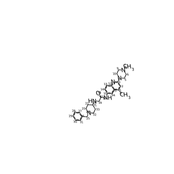 Cc1cc(N2CCN(C)CC2)nc2ccc(NC(=O)CNC3CCN(Cc4ccccc4)CC3)cc12